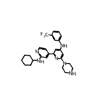 FC(F)(F)c1cccc(Nc2cc(-c3ccnc(NC4CCCCC4)c3)nc(N3CCNCC3)c2)c1